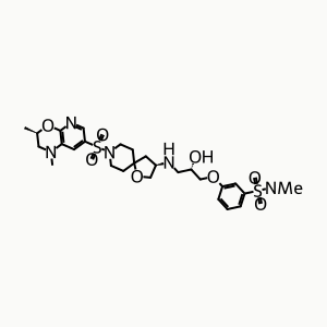 CNS(=O)(=O)c1cccc(OC[C@@H](O)CN[C@H]2COC3(CCN(S(=O)(=O)c4cnc5c(c4)N(C)C[C@@H](C)O5)CC3)C2)c1